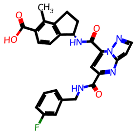 Cc1c(C(=O)O)ccc2c1CC[C@@H]2NC(=O)c1cc(C(=O)NCc2cccc(F)c2)nc2ccnn12